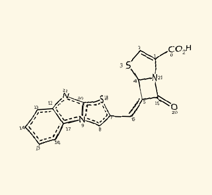 O=C(O)C1=CSC2/C(=C\c3cn4c(nc5ccccc54)s3)C(=O)N12